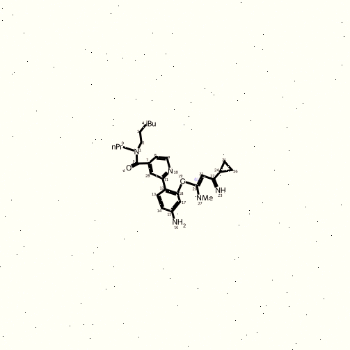 CCCN(CCC(C)CC)C(=O)c1ccnc(-c2ccc(N)cc2O/C(=C/C(=N)C2CC2)NC)c1